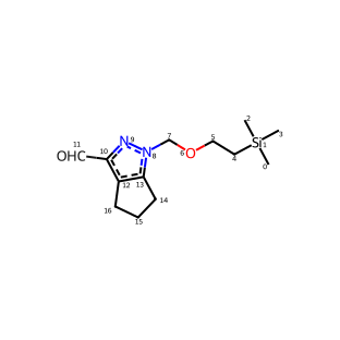 C[Si](C)(C)CCOCn1nc(C=O)c2c1CCC2